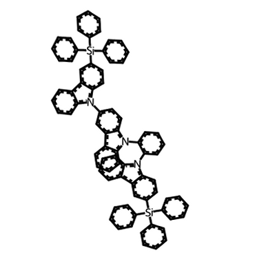 c1ccc([Si](c2ccccc2)(c2ccccc2)c2ccc3c(c2)c2ccccc2n3-c2ccc3c(c2)c2ccccc2n3-c2ccccc2-n2c3ccccc3c3cc([Si](c4ccccc4)(c4ccccc4)c4ccccc4)ccc32)cc1